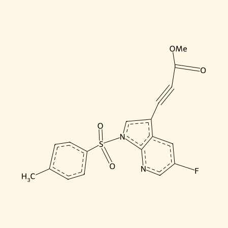 COC(=O)C#Cc1cn(S(=O)(=O)c2ccc(C)cc2)c2ncc(F)cc12